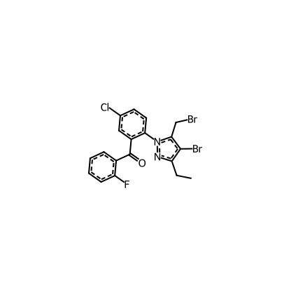 CCc1nn(-c2ccc(Cl)cc2C(=O)c2ccccc2F)c(CBr)c1Br